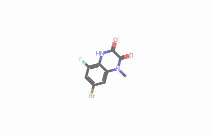 Cn1c(=O)c(=O)[nH]c2c(F)cc(Br)cc21